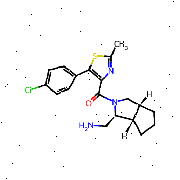 Cc1nc(C(=O)N2C[C@@H]3CCC[C@@H]3[C@H]2CN)c(-c2ccc(Cl)cc2)s1